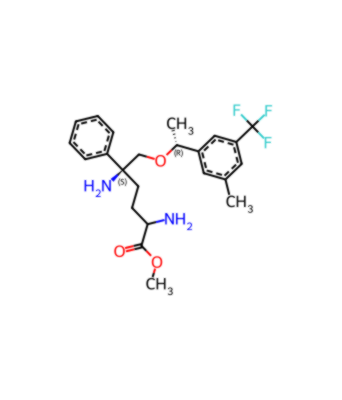 COC(=O)C(N)CC[C@@](N)(CO[C@H](C)c1cc(C)cc(C(F)(F)F)c1)c1ccccc1